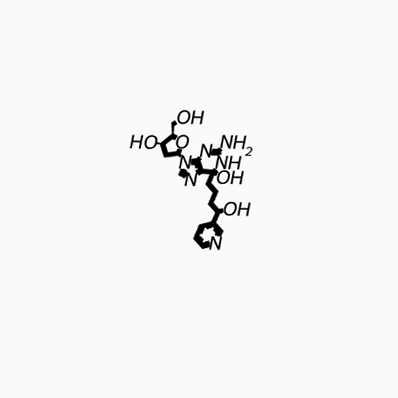 NC1=Nc2c(ncn2[C@H]2C[C@H](O)[C@@H](CO)O2)C(O)(CCCC(O)c2cccnc2)N1